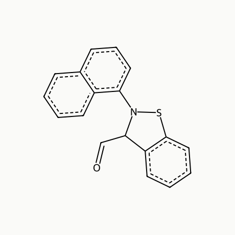 O=CC1c2ccccc2SN1c1cccc2ccccc12